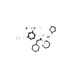 COc1cc([C@@H](C(=O)N2CCCC[C@H]2C(=O)OC2CCCC2)C2CCCCC2)cc(C)c1OC